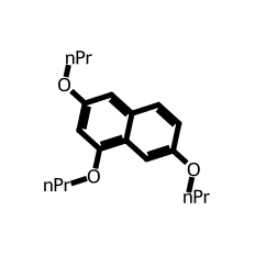 CCCOc1cc(OCCC)c2cc(OCCC)ccc2c1